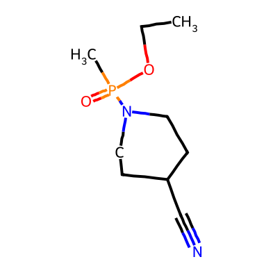 CCOP(C)(=O)N1CCC(C#N)CC1